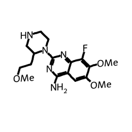 COCCC1CNCCN1c1nc(N)c2cc(OC)c(OC)c(F)c2n1